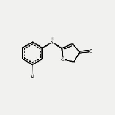 O=C1C=C(Nc2cccc(Cl)c2)OC1